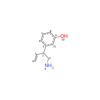 C=CC(CN)c1cccc(O)c1